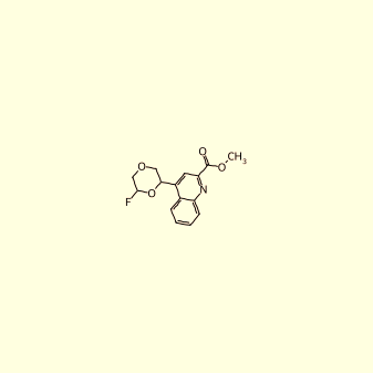 COC(=O)c1cc(C2COCC(F)O2)c2ccccc2n1